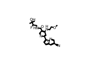 COCCNc1cc(-c2ccc3cc(C#N)cnn23)ncc1C(=O)NCC(F)C(C)(C)O